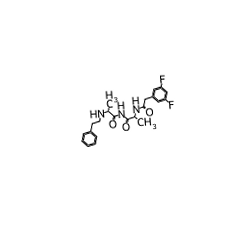 C[C@H](NCCc1ccccc1)C(=O)NC(=O)[C@H](C)NC(=O)Cc1cc(F)cc(F)c1